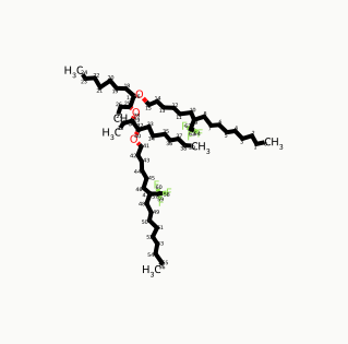 CCCCCCCCCC(CCCCCCOC(CCCCCCC)C(CC)OC(CC)C(CCCCCCC)OCCCCCCC(CCCCCCCCC)C(F)(F)F)C(F)(F)F